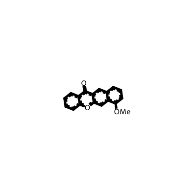 COc1cccc2cc3c(=O)c4ccccc4oc3cc12